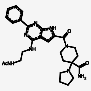 CC(=O)NCCNc1nc(-c2ccccc2)nc2[nH]c(C(=O)N3CCC(C(N)=O)(N4CCCC4)CC3)cc12